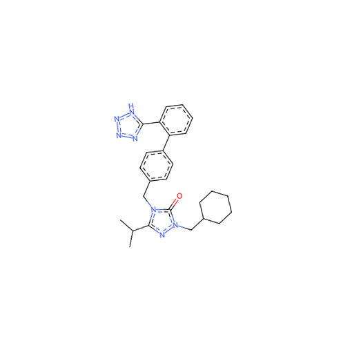 CC(C)c1nn(CC2CCCCC2)c(=O)n1Cc1ccc(-c2ccccc2-c2nnn[nH]2)cc1